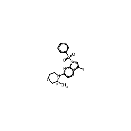 C[C@H]1COCCN1c1ccc2c(I)cn(S(=O)(=O)c3ccccc3)c2n1